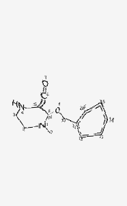 CN1CCNC(=C=O)[C@@H]1OCc1ccccc1